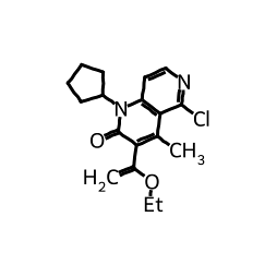 C=C(OCC)c1c(C)c2c(Cl)nccc2n(C2CCCC2)c1=O